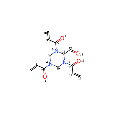 C=CC(=O)N1CN(C(=O)C=C)C(C=O)N(C(=O)C=C)C1